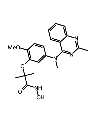 COc1ccc(N(C)c2nc(C)nc3ccccc23)cc1OC(C)(C)C(=O)NO